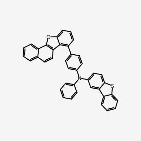 c1ccc(N(c2ccc(-c3cccc4oc5c6ccccc6ccc5c34)cc2)c2ccc3sc4ccccc4c3c2)cc1